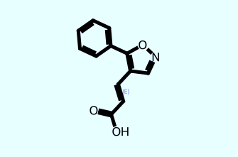 O=C(O)/C=C/c1cnoc1-c1ccccc1